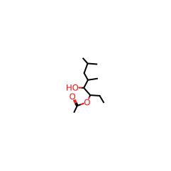 CCC(OC(C)=O)C(O)C(C)CC(C)C